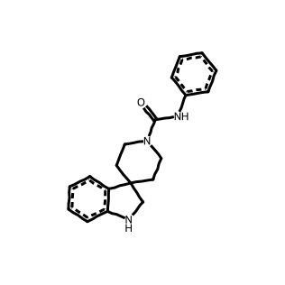 O=C(Nc1ccccc1)N1CCC2(CC1)CNc1ccccc12